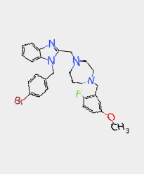 COc1ccc(F)c(CN2CCCN(Cc3nc4ccccc4n3Cc3ccc(Br)cc3)CC2)c1